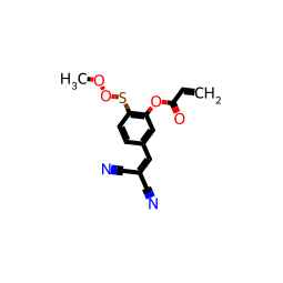 C=CC(=O)Oc1cc(C=C(C#N)C#N)ccc1SOOC